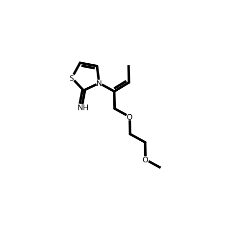 C/C=C(/COCCOC)n1ccsc1=N